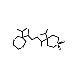 CC(C)C1(C(C)CCC(C)C2(C(C)C)COCCOC2)CCS(=O)(=O)CC1